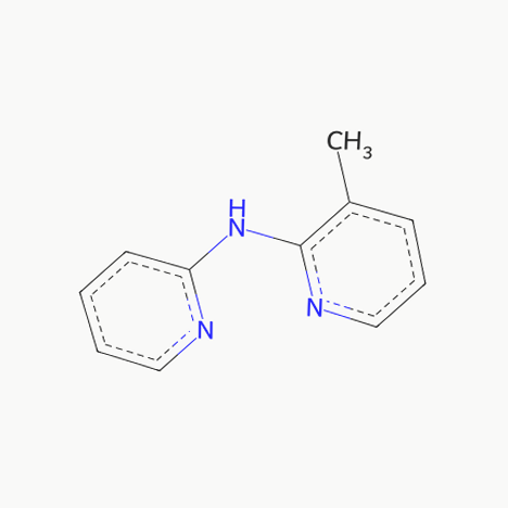 Cc1cccnc1Nc1ccccn1